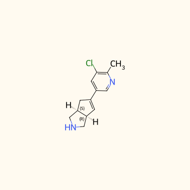 Cc1ncc(C2=C[C@H]3CNC[C@H]3C2)cc1Cl